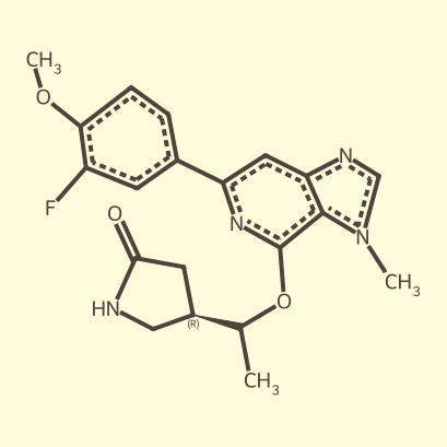 COc1ccc(-c2cc3ncn(C)c3c(OC(C)[C@H]3CNC(=O)C3)n2)cc1F